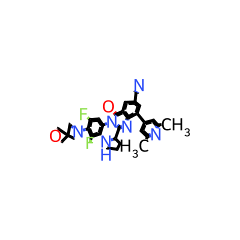 Cc1cc(-c2cc(C#N)cc3c(=O)n(-c4cc(F)c(N5CC6(COC6)C5)c(F)c4)c(C4CCCN4)nc23)cc(C)n1